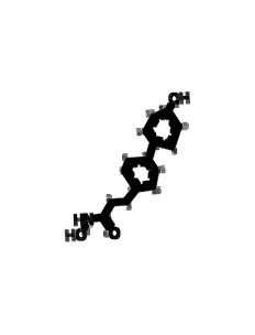 O=C(CCc1ccc(-c2ccc(O)cc2)cc1)NO